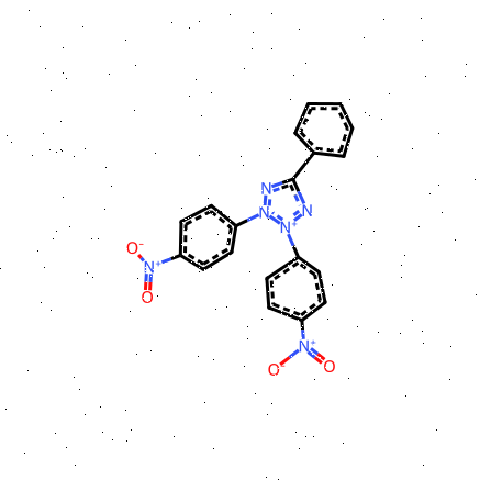 O=[N+]([O-])c1ccc(-n2nc(-c3ccccc3)n[n+]2-c2ccc([N+](=O)[O-])cc2)cc1